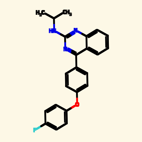 CC(C)Nc1nc(-c2ccc(Oc3ccc(F)cc3)cc2)c2ccccc2n1